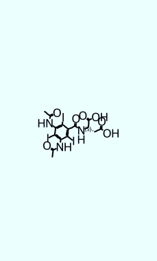 CC(=O)Nc1c(I)c(NC(C)=O)c(I)c(C(=O)N[C@@H](CC(=O)O)C(=O)O)c1I